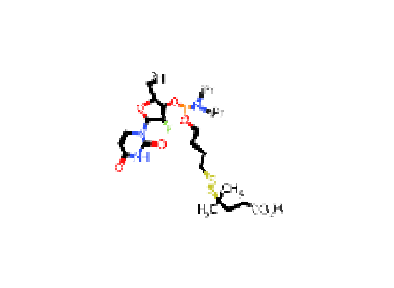 [2H]CC1OC(n2ccc(=O)[nH]c2=O)C(F)C1OP(OCCCCSSC(C)(C)CCC(=O)O)N(C(C)C)C(C)C